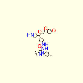 COc1ccc2c(CC(=O)C(c3ccc(NC(=O)Nc4cc(C(C)(C)C)nn4-c4ccc(C)cc4)cc3)C3CCNCC3)coc2c1